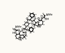 CN[C@@H](C)C(=O)N[C@H]1CCS[C@H]2CC(C)(C)[C@@H](C(=O)N[C@H](C(=O)N3CCN(C(=O)[C@@H](NC(=O)[C@H]4N5C(=O)[C@@H](NC(O)[C@H](C)NC)CCS[C@H]5CC4(C)C)c4ccccc4)CC3)c3ccccc3)N2C1=O